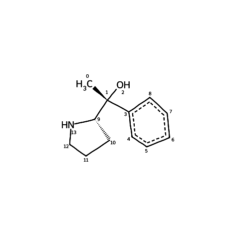 C[C@@](O)(c1ccccc1)[C@@H]1CCCN1